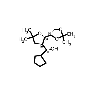 CC1(C)C[C@H]([C@H](O)C2CCCC2)[C@@H]([C@@H]2COC(C)(C)O2)O1